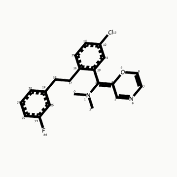 CN(C)C(=C1C=NC=CO1)c1cc(Cl)ccc1CCc1cccc(F)c1